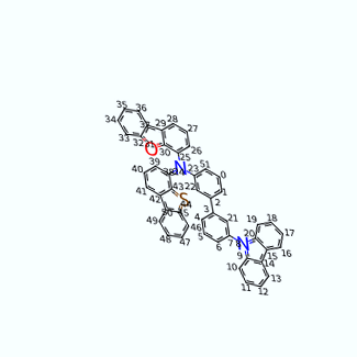 c1cc(-c2cccc(-n3c4ccccc4c4ccccc43)c2)cc(N(c2cccc3c2oc2ccccc23)c2cccc3c2sc2ccccc23)c1